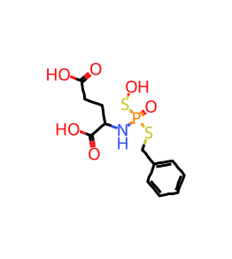 O=C(O)CCC(NP(=O)(SO)SCc1ccccc1)C(=O)O